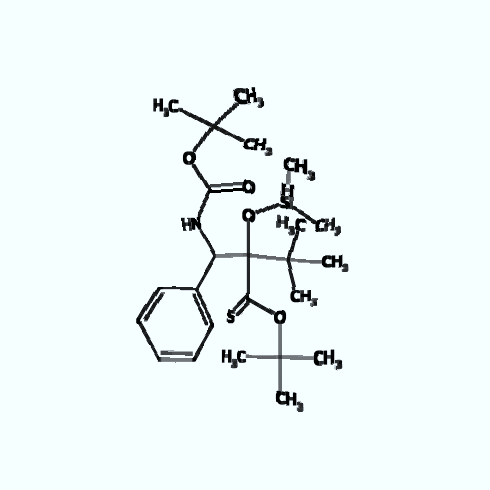 C[SiH](C)OC(C(=S)OC(C)(C)C)(C(NC(=O)OC(C)(C)C)c1ccccc1)C(C)(C)C